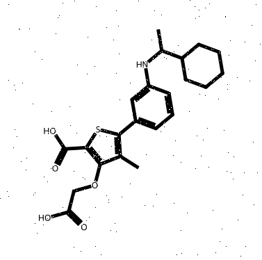 Cc1c(-c2cccc(NC(C)C3CCCCC3)c2)sc(C(=O)O)c1OCC(=O)O